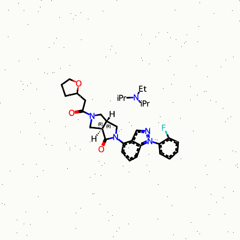 CCN(C(C)C)C(C)C.O=C(CC1CCCO1)N1C[C@@H]2CN(c3cccc4c3cnn4-c3ccccc3F)C(=O)[C@H]2C1